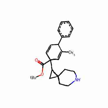 CC1=CC(C(=O)OC(C)(C)C)(C2CC23CCNCC3)C=CC1c1ccccc1